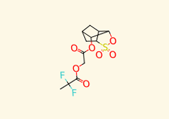 CC(F)(F)C(=O)OCC(=O)OC1C2CC3C1OS(=O)(=O)C3C2